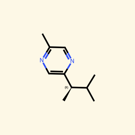 Cc1cnc([C@H](C)C(C)C)cn1